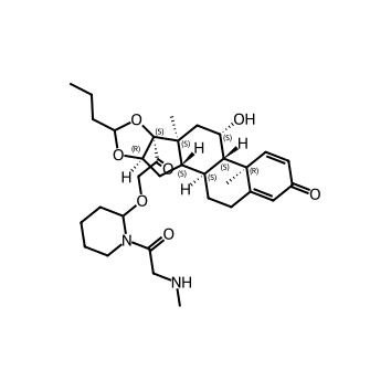 CCCC1O[C@@H]2C[C@H]3[C@@H]4CCC5=CC(=O)C=C[C@]5(C)[C@H]4[C@@H](O)C[C@]3(C)[C@]2(C(=O)COC2CCCCN2C(=O)CNC)O1